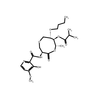 CCCCO[C@H]1COC[C@H](NC(=O)c2nccc(OC)c2O)C(=O)O[C@@H](C)[C@@H]1OC(=O)C(C)C